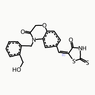 O=C1NC(=S)S/C1=C/c1ccc2c(c1)N(Cc1ccccc1CO)C(=O)CO2